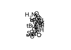 CN(C[C@@H](NC(=O)N[C@H](C(=O)N1C[C@H]2[C@@H]([C@H]1C(=O)NC(CC1CCC1)C(=O)C(N)=O)C2(C)C)C(C)(C)C)C1CCCCC1)S(=O)(=O)c1cccs1